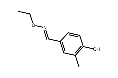 CCON=Cc1ccc(O)c(C)c1